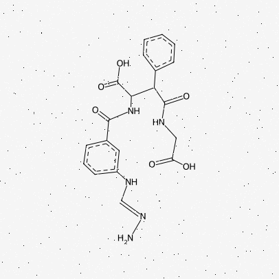 NN=CNc1cccc(C(=O)NC(C(=O)O)C(C(=O)NCC(=O)O)c2ccccc2)c1